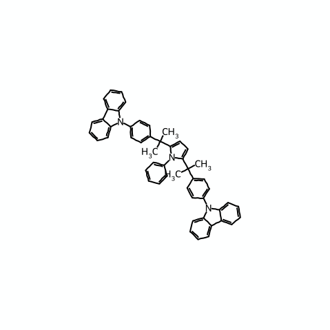 CC(C)(c1ccc(-n2c3ccccc3c3ccccc32)cc1)c1ccc(C(C)(C)c2ccc(-n3c4ccccc4c4ccccc43)cc2)n1-c1ccccc1